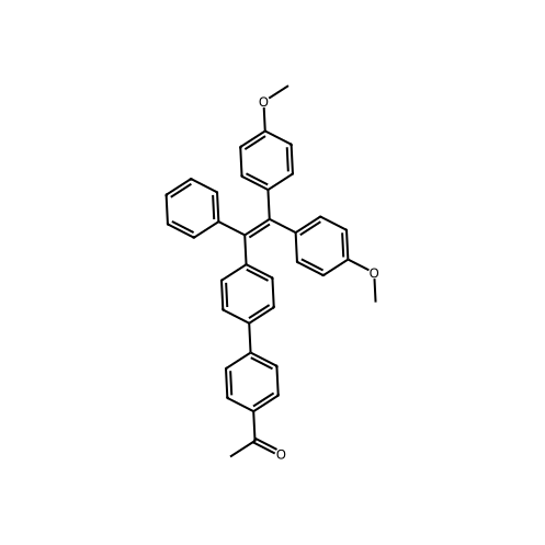 COc1ccc(C(=C(c2ccccc2)c2ccc(-c3ccc(C(C)=O)cc3)cc2)c2ccc(OC)cc2)cc1